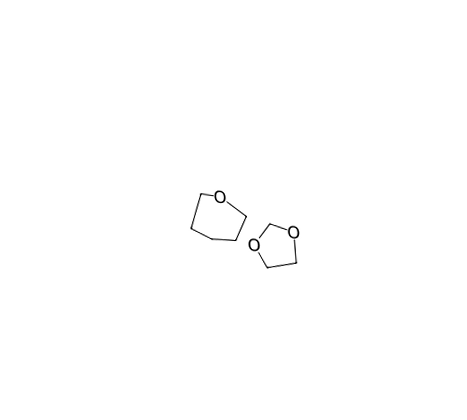 C1CCOCC1.C1COCO1